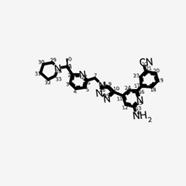 C[C@@H](c1cccc(Cn2cc(-c3cc(N)nc(-c4cccc(C#N)c4)c3)nn2)n1)N1CCCCC1